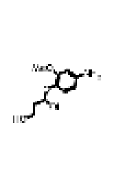 COc1cc(N)ccc1OC(O)CCO